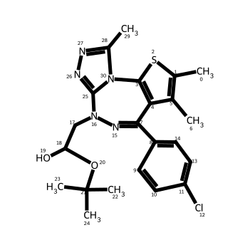 Cc1sc2c(c1C)C(c1ccc(Cl)cc1)=NN(CC(O)OC(C)(C)C)c1nnc(C)n1-2